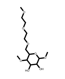 COCCOCCOCC1OC(OC)C(O)C(O)C1OC